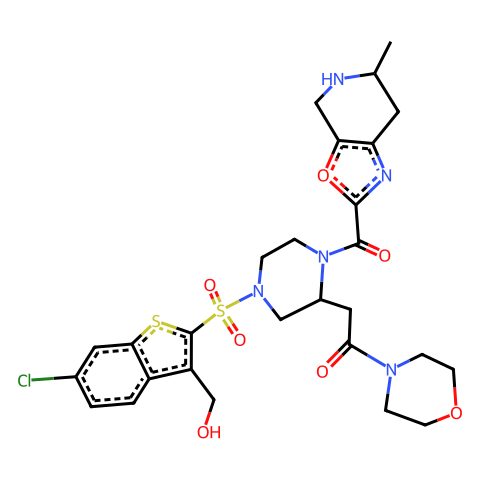 CC1Cc2nc(C(=O)N3CCN(S(=O)(=O)c4sc5cc(Cl)ccc5c4CO)CC3CC(=O)N3CCOCC3)oc2CN1